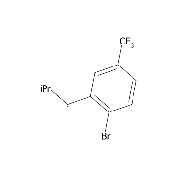 CC(C)[CH]c1cc(C(F)(F)F)ccc1Br